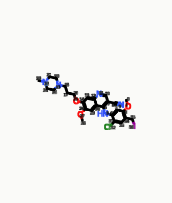 COc1cc(Nc2c(C#N)cnc3cc(OCCCN4CCN(C)CC4)c(OC)cc23)c(Cl)cc1CI